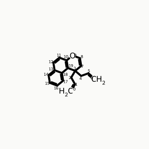 C=CCC1(CC=C)C=COc2ccc3ccccc3c21